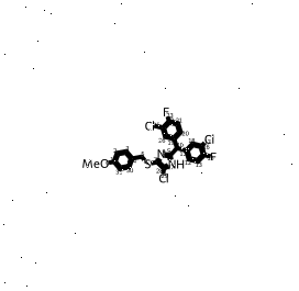 COc1ccc(CSc2nc(C(c3ccc(F)c(Cl)c3)c3ccc(F)c(Cl)c3)[nH]c2Cl)cc1